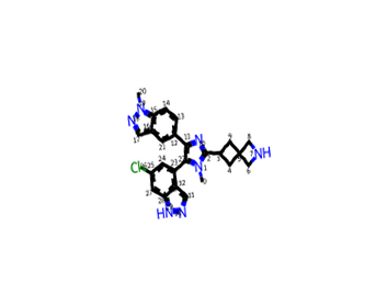 Cn1c(C2CC3(CNC3)C2)nc(-c2ccc3c(cnn3C)c2)c1-c1cc(Cl)cc2[nH]ncc12